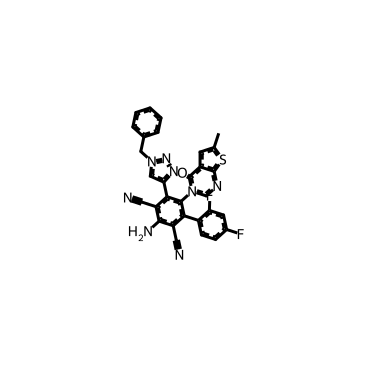 Cc1cc2c(=O)n(-c3c(-c4cn(Cc5ccccc5)nn4)c(C#N)c(N)c(C#N)c3-c3ccc(F)cc3F)cnc2s1